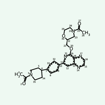 CC(=O)N1CCC(c2ccc(-c3cc4nccnc4c(OC[C@@H]4CN(C(C)=O)CCO4)n3)cc2)CC1